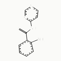 Nc1ccccc1C(=O)Nc1ccncn1